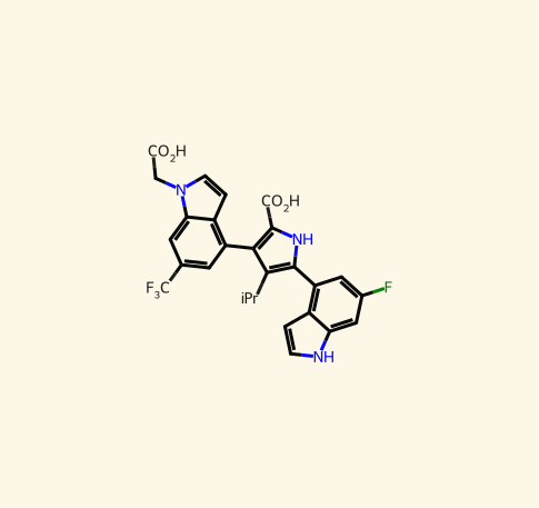 CC(C)c1c(-c2cc(F)cc3[nH]ccc23)[nH]c(C(=O)O)c1-c1cc(C(F)(F)F)cc2c1ccn2CC(=O)O